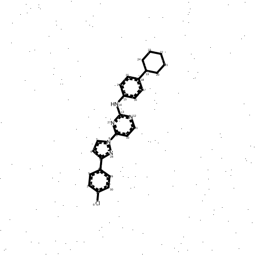 Clc1ccc(-c2ccn(-c3ccnc(Nc4ccc(C5CCCCC5)cc4)n3)n2)cc1